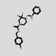 O=C(OCc1ccc(F)cc1)N1CC[C@@H](CNc2ccncc2)C(F)(F)C1